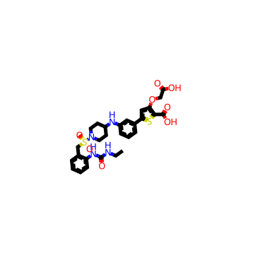 CCNC(=O)Nc1ccccc1CS(=O)(=O)N1CCC(Nc2cccc(-c3cc(OCC(=O)O)c(C(=O)O)s3)c2)CC1